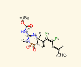 C=C(/C(F)=C(F)\C=C(/C)C=O)[C@]1(C)CS(=O)(=O)N(C)C(NC(=O)OC(C)(C)C)=N1